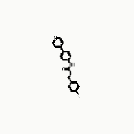 O=C(CCc1ccc(Cl)cc1)Nc1ccc(-c2ccncc2)cc1